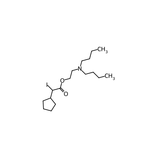 CCCCN(CCCC)CCOC(=O)C(I)C1CCCC1